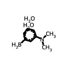 Bc1cccc(N(C)C)c1.O.O